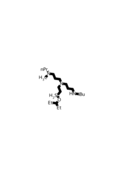 CCCN(C)CCCN(CCCNC(C)CC)CC[SiH2]OC(CC)CC